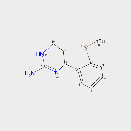 CCCCSc1ccccc1C1CCNC(N)=N1